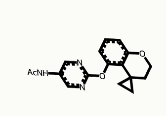 CC(=O)Nc1cnc(Oc2cccc3c2C2(CCO3)CC2)nc1